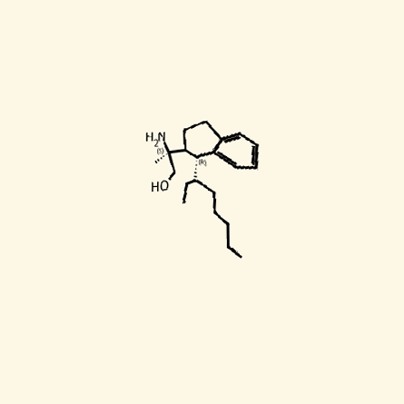 CCCCCC(CC)[C@H]1c2ccccc2CCC1[C@](C)(N)CO